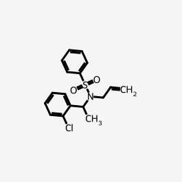 C=CCN(C(C)c1ccccc1Cl)S(=O)(=O)c1ccccc1